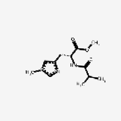 COC(=O)[C@@H](Cc1cn(C)cn1)NC(=O)C(C)C